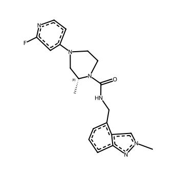 C[C@@H]1CN(c2ccnc(F)c2)CCN1C(=O)NCc1cccc2nn(C)cc12